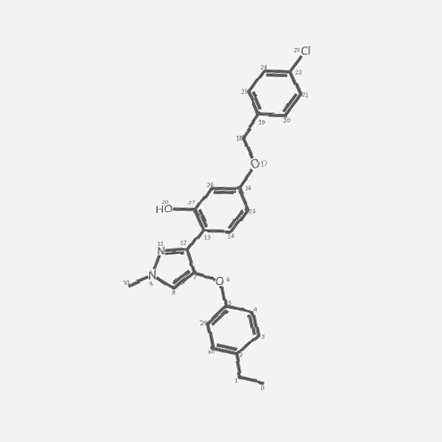 CCc1ccc(Oc2cn(C)nc2-c2ccc(OCc3ccc(Cl)cc3)cc2O)cc1